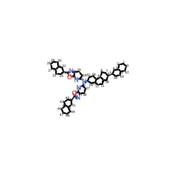 c1ccc2cc(-c3ccc4c(ccc5cc(N(c6ccc7nc(-c8ccc9ccccc9c8)oc7n6)c6ccc7nc(-c8ccc9ccccc9c8)oc7n6)ccc54)c3)ccc2c1